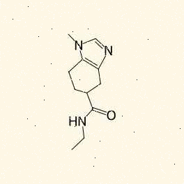 CCNC(=O)C1CCc2c(ncn2C)C1